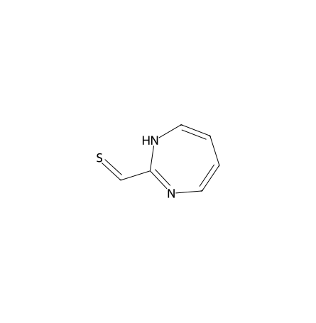 S=CC1=NC=CC=CN1